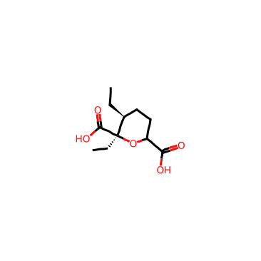 CC[C@H]1CCC(C(=O)O)O[C@@]1(CC)C(=O)O